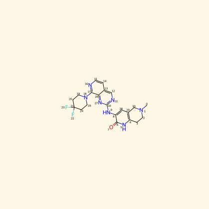 CN1CCc2[nH]c(=O)c(Nc3ncc4ccnc(N5CCC(F)(F)CC5)c4n3)cc2C1